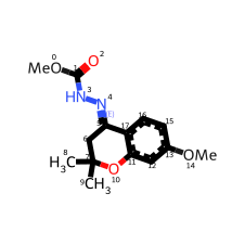 COC(=O)N/N=C1\CC(C)(C)Oc2cc(OC)ccc21